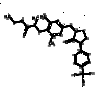 CCOC(=O)C(C)Oc1c(C)cc(CN2CCN(c3ccc(C(F)(F)F)cc3)C2=O)cc1C